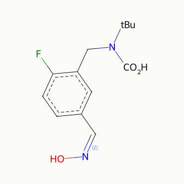 CC(C)(C)N(Cc1cc(/C=N\O)ccc1F)C(=O)O